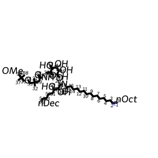 CCCCCCCC/C=C\CCCCCCCCCCCCCC(=O)N[C@@H](COC1OC(CNC(=O)CC(C)(C)COCC(C)(C)COC)C(O)C(O)C1O)[C@H](O)[C@H](O)CCCCCCCCCCCCCC